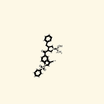 CB(O)N1CC(Cc2ccccc2)C(C(=O)c2ccc3c(c2)c(I)cn3S(=O)(=O)c2ccccc2)C1